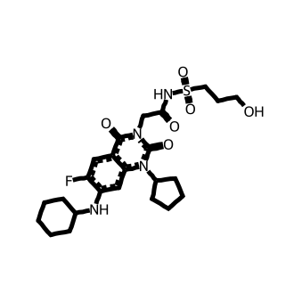 O=C(Cn1c(=O)c2cc(F)c(NC3CCCCC3)cc2n(C2CCCC2)c1=O)NS(=O)(=O)CCCO